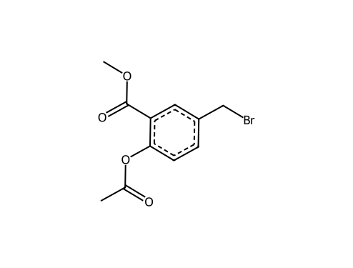 COC(=O)c1cc(CBr)ccc1OC(C)=O